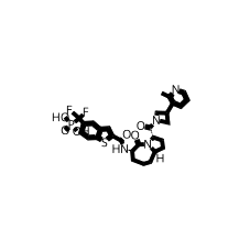 Cc1ncccc1C1CN(C(=O)[C@@H]2CC[C@@H]3CCC[C@H](NC(=O)c4cc5cc(C(F)(F)P(=O)(O)O)ccc5s4)C(=O)N32)C1